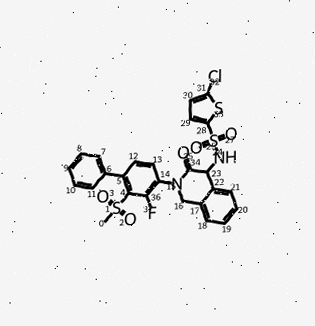 CS(=O)(=O)c1c(-c2ccccc2)ccc(N2Cc3ccccc3C(NS(=O)(=O)c3ccc(Cl)s3)C2=O)c1F